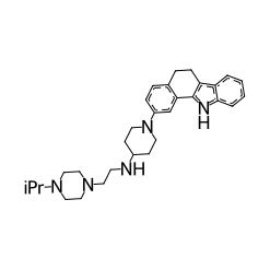 CC(C)N1CCN(CCNC2CCN(c3ccc4c(c3)-c3[nH]c5ccccc5c3CC4)CC2)CC1